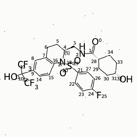 O=C(NC[C@@H]1CCc2cc(C(O)(C(F)(F)F)C(F)(F)F)ccc2N1S(=O)(=O)c1ccc(F)cc1)[C@H]1CC[C@@H](O)CC1